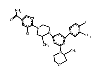 Cc1cc(-c2cc(N3CCN(c4ncc(C(N)=O)cc4Cl)CC3C)nc(N3CCOCC3C)n2)ccc1F